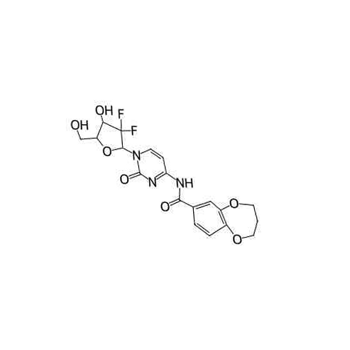 O=C(Nc1ccn(C2OC(CO)C(O)C2(F)F)c(=O)n1)c1ccc2c(c1)OCCCO2